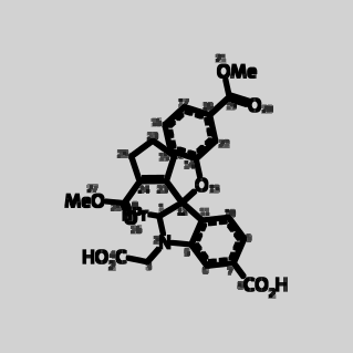 CCCC1N(CC(=O)O)c2cc(C(=O)O)ccc2C1(Oc1cccc(C(=O)OC)c1)C1=C(C(=O)OC)CCC1